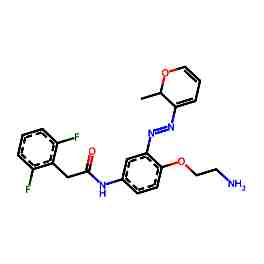 CC1OC=CC=C1N=Nc1cc(NC(=O)Cc2c(F)cccc2F)ccc1OCCN